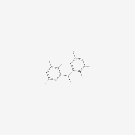 CCCc1cc(C)c(O)c(C(CCC)c2cc(CCC)cc(C)c2O)c1